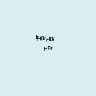 Br.Br.Br.[Ir]